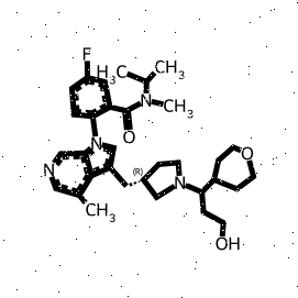 Cc1cncc2c1c(C[C@@H]1CCN(C(CCO)C3CCOCC3)C1)cn2-c1ccc(F)cc1C(=O)N(C)C(C)C